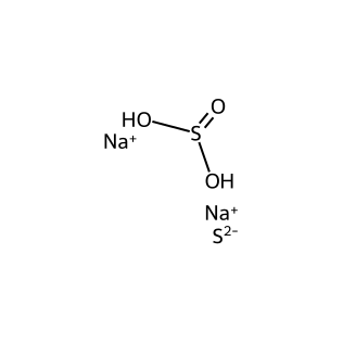 O=S(O)O.[Na+].[Na+].[S-2]